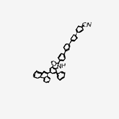 N#Cc1ccc(-c2ccc(-c3ccc(-c4ccc(C5Nc6c(cc(-c7cc8ccccc8c8ccccc78)cc6-c6ccccc6)O5)cc4)cc3)cc2)cc1